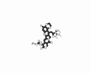 CC[C@@]1(OC(=O)OC(C)C)C(=O)OCc2c1cc1n(c2=O)Cc2c-1nc1cc(F)c3c(c1c2CC(C)N(C)C)OCCO3